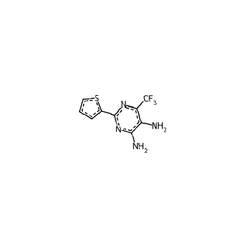 Nc1nc(-c2cccs2)nc(C(F)(F)F)c1N